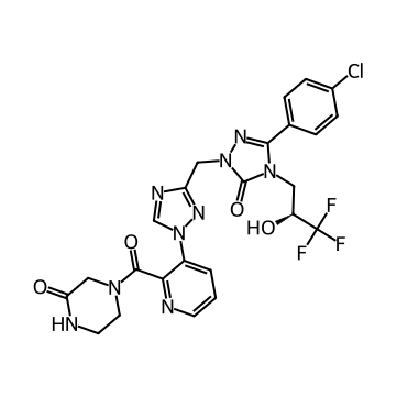 O=C1CN(C(=O)c2ncccc2-n2cnc(Cn3nc(-c4ccc(Cl)cc4)n(C[C@H](O)C(F)(F)F)c3=O)n2)CCN1